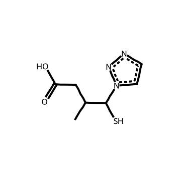 CC(CC(=O)O)C(S)n1ccnn1